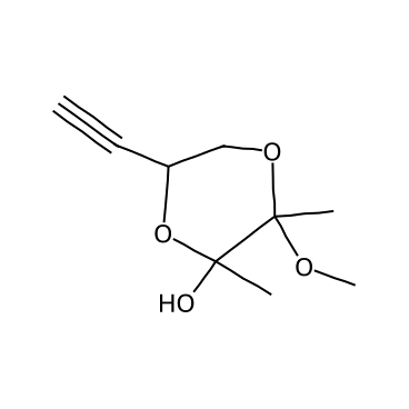 C#CC1COC(C)(OC)C(C)(O)O1